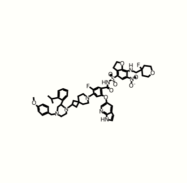 COc1ccc(CN2CCN(C3CC4(CCN(c5cc(Oc6cnc7[nH]ccc7c6)c(C(=O)NS(=O)(=O)c6cc([N+](=O)[O-])c(NCC7(F)CCOCC7)c7c6CCO7)cc5F)CC4)C3)C(c3ccccc3C(C)C)C2)cc1